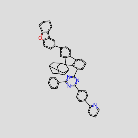 c1ccc(-c2nc(-c3ccc(-c4ccccn4)cc3)nc(-c3cccc4c3C3(c5cc(-c6ccc7oc8ccccc8c7c6)ccc5-4)C4CC5CC(C4)CC3C5)n2)cc1